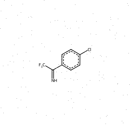 N=C(c1ccc(Cl)cc1)C(F)(F)F